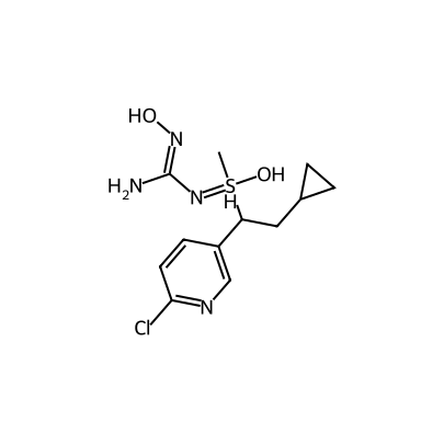 C[SH](O)(=NC(N)=NO)C(CC1CC1)c1ccc(Cl)nc1